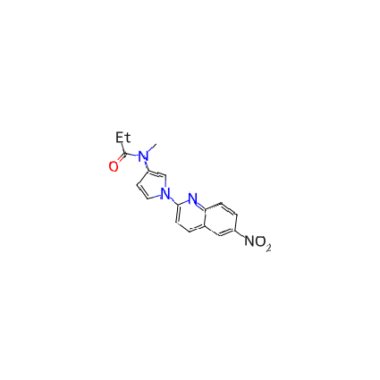 CCC(=O)N(C)c1ccn(-c2ccc3cc([N+](=O)[O-])ccc3n2)c1